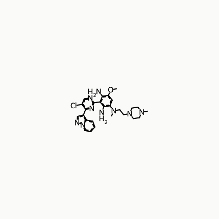 COc1cc(N(C)CCN2CCN(C)CC2)c(N)c(-c2ncc(Cl)c(-c3cnn4ccccc34)n2)c1N